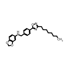 CCCCCCCCc1noc(-c2ccc(CNc3ccc4c(c3)OCO4)cc2)n1